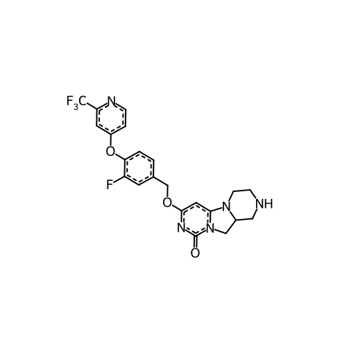 O=c1nc(OCc2ccc(Oc3ccnc(C(F)(F)F)c3)c(F)c2)cc2n1CC1CNCCN21